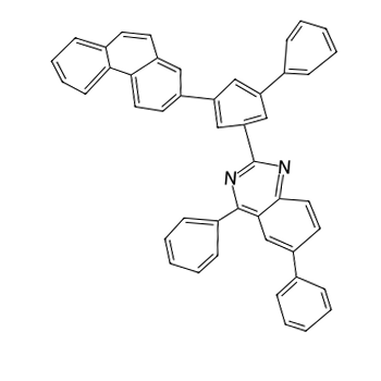 c1ccc(-c2cc(-c3ccc4c(ccc5ccccc54)c3)cc(-c3nc(-c4ccccc4)c4cc(-c5ccccc5)ccc4n3)c2)cc1